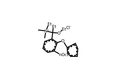 CCCCCCCCc1cccc(C(CC)(OCC)[N+](C)(C)CC)c1Oc1ccccc1.[Cl-]